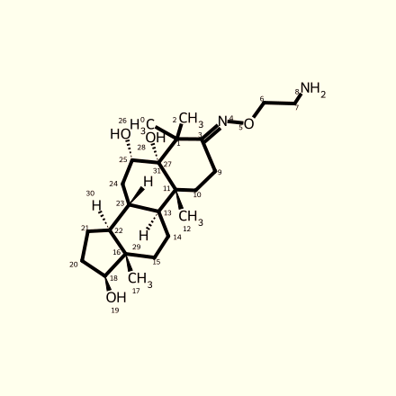 CC1(C)/C(=N/OCCN)CC[C@]2(C)[C@H]3CC[C@]4(C)[C@@H](O)CC[C@H]4[C@@H]3C[C@H](O)[C@@]12O